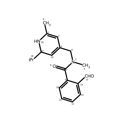 CC1=CC(CN(C)C(=O)c2ccccc2C=O)=CC(C(C)C)N1